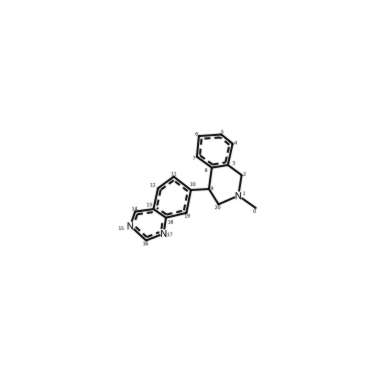 CN1Cc2ccccc2C(c2ccc3cncnc3c2)C1